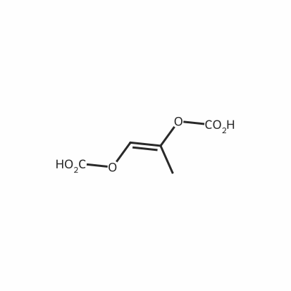 C/C(=C\OC(=O)O)OC(=O)O